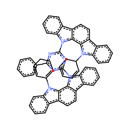 C1=CCC(n2c3ccccc3c3ccc4c5ccccc5n(-c5nc(-c6ccccc6)nc(-n6c7ccccc7c7ccc8c9ccccc9n(C9=CCCC=C9)c8c76)n5)c4c32)C=C1